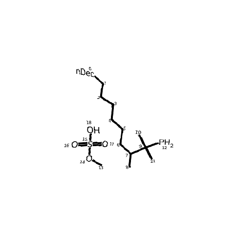 CCCCCCCCCCCCCCCCC(C)C(C)(C)P.COS(=O)(=O)O